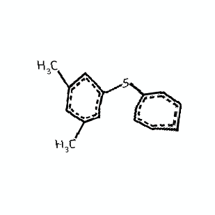 Cc1cc(C)cc(Sc2ccccc2)c1